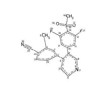 Cc1cc(-c2ccncc2-c2cc(F)c(S(C)(=O)=O)c(F)c2)ccc1C#N